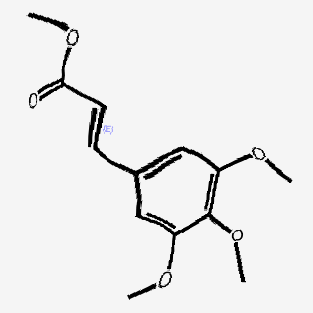 COC(=O)/C=C/c1cc(OC)c(OC)c(OC)c1